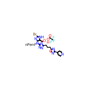 CCCCCn1c2nc(Br)[nH]c2c(=O)n2c(CCCc3nc(-c4ccncc4)no3)nnc12.O=C(O)C(F)(F)F